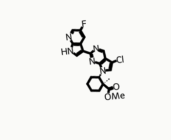 COC(=O)[C@@]1(C)CCCC[C@H]1n1cc(Cl)c2cnc(-c3c[nH]c4ncc(F)cc34)nc21